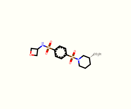 CCOC(=O)[C@@H]1CCCN(S(=O)(=O)c2ccc(S(=O)(=O)NC3COC3)cc2)C1